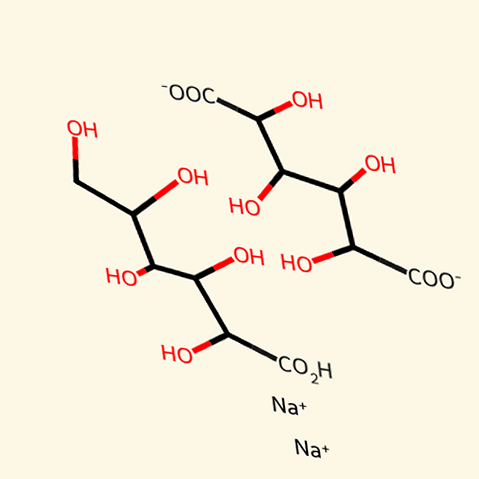 O=C(O)C(O)C(O)C(O)C(O)CO.O=C([O-])C(O)C(O)C(O)C(O)C(=O)[O-].[Na+].[Na+]